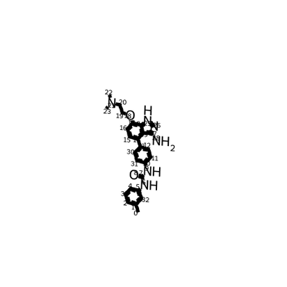 Cc1cccc(NC(=O)Nc2ccc(-c3ccc(OCCN(C)C)c4[nH]nc(N)c34)cc2)c1